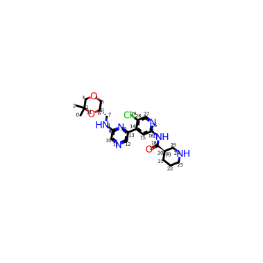 CC1(C)COC[C@H](CNc2cncc(-c3cc(NC(=O)[C@@H]4CCCNC4)ncc3Cl)n2)O1